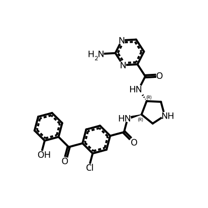 Nc1nccc(C(=O)N[C@@H]2CNC[C@H]2NC(=O)c2ccc(C(=O)c3ccccc3O)c(Cl)c2)n1